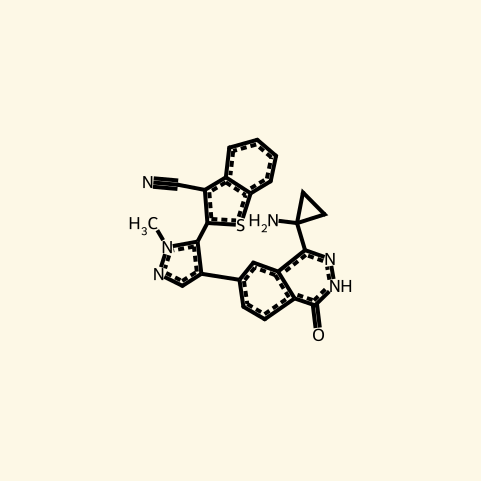 Cn1ncc(-c2ccc3c(=O)[nH]nc(C4(N)CC4)c3c2)c1-c1sc2ccccc2c1C#N